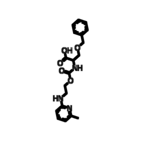 Cc1cccc(NCCOC(=O)NC(COCc2ccccc2)C(=O)O)n1